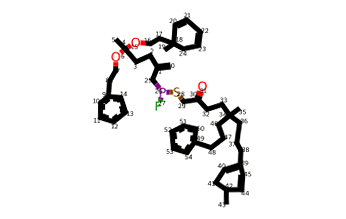 C=C(CCC(C)(OCCc1ccccc1)OCCC1(C)C=CC=CC1)CP(F)SCC(=O)CCC(C)(CCCC1=CCC(C)C=C1)CCCc1ccccc1